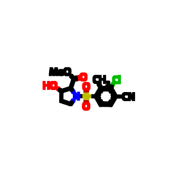 COC(=O)C1C(O)CCN1S(=O)(=O)c1ccc(C#N)c(Cl)c1C